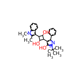 Cc1c(C2C(O)C(c3c(-c4ccccc4)nn(C(C)(C)C)c3O)C2O)c2ccccc2n1C